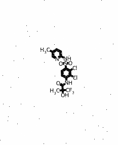 Cc1ccc(NS(=O)(=O)c2ccc(NC(=O)C(C)(O)C(F)(F)F)c(Cl)c2Cl)nc1